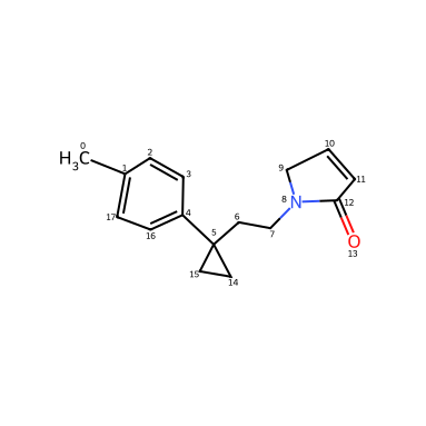 Cc1ccc(C2(CCN3CC=CC3=O)CC2)cc1